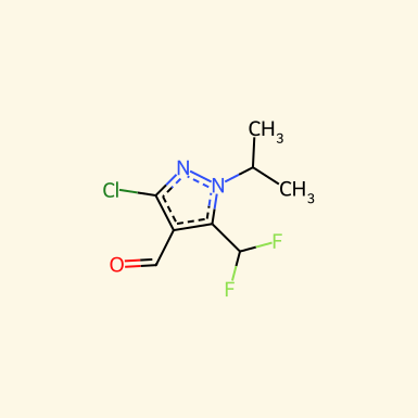 CC(C)n1nc(Cl)c(C=O)c1C(F)F